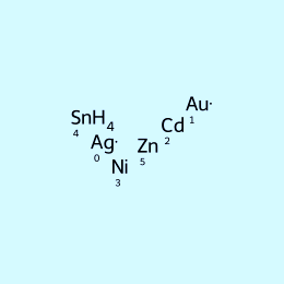 [Ag].[Au].[Cd].[Ni].[SnH4].[Zn]